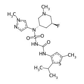 Cc1cc(NC(=O)NS(=O)(=O)N(c2cnn(C)c2)[C@H]2C[C@H](F)CN(C)C2)c(C(C)C)s1